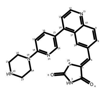 O=C1NC(=O)C(=Cc2ccc3nccc(-c4ccc(N5CCNCC5)nc4)c3c2)S1